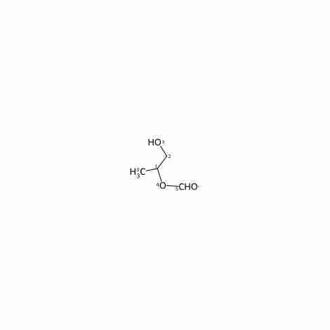 CC(CO)O[C]=O